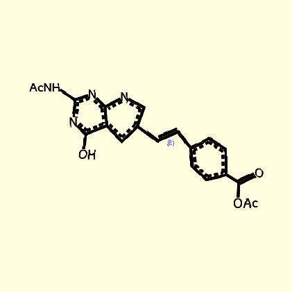 CC(=O)Nc1nc(O)c2cc(/C=C/c3ccc(C(=O)OC(C)=O)cc3)cnc2n1